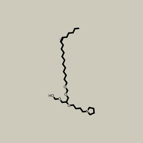 CCCCC/C=C\CCCCCCCCCCCOCOCC(COCO)OCCCCN1CCCC1